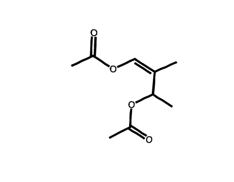 CC(=O)OC=C(C)C(C)OC(C)=O